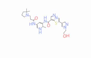 CC1NC=C(NC(=O)CCN2CCCC2(C)C)C=C1NC(=O)c1cnn2cc(-c3cnn(CCO)c3)sc12